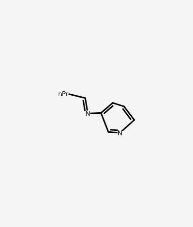 CCCC=Nc1cccnc1